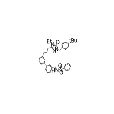 CCn1c(CCCc2cccc(-c3cccc(CNS(=O)(=O)c4ccccc4)c3)c2)nn(Cc2ccc(C(C)(C)C)cc2)c1=O